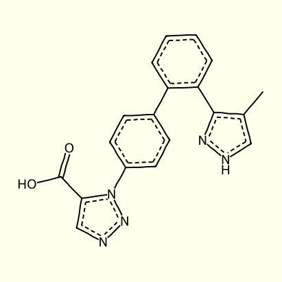 Cc1c[nH]nc1-c1ccccc1-c1ccc(-n2nncc2C(=O)O)cc1